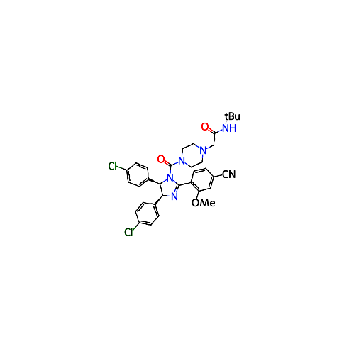 COc1cc(C#N)ccc1C1=N[C@@H](c2ccc(Cl)cc2)[C@@H](c2ccc(Cl)cc2)N1C(=O)N1CCN(CC(=O)NC(C)(C)C)CC1